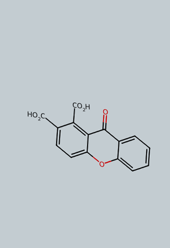 O=C(O)c1ccc2oc3ccccc3c(=O)c2c1C(=O)O